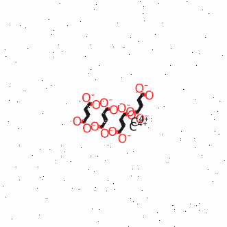 O=C([O-])C=CC(=O)[O-].O=C([O-])C=CC(=O)[O-].O=C([O-])C=CC(=O)[O-].O=C([O-])C=CC(=O)[O-].[C+4].[C+4]